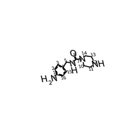 Nc1ccc(CNC(=O)N2CCNCC2)cc1